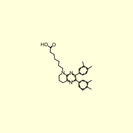 Cc1ccc(-c2nc3c(nc2-c2ccc(C)c(C)c2)N(CCCCCCC(=O)O)CCC3)cc1C